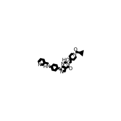 O=C(C1CC1)N1CCC(O)(Cn2cnc3c(cnn3-c3ccc(NCc4cccnc4)cc3)c2=O)CC1